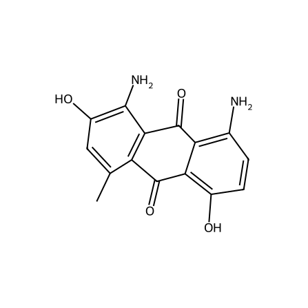 Cc1cc(O)c(N)c2c1C(=O)c1c(O)ccc(N)c1C2=O